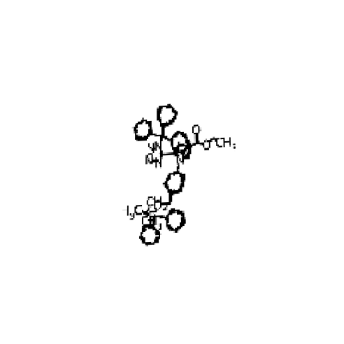 CCOC(=O)c1cc(-c2nnnn2C(c2ccccc2)(c2ccccc2)c2ccccc2)n(-c2ccc(CO[Si](c3ccccc3)(c3ccccc3)C(C)(C)C)cc2)c1